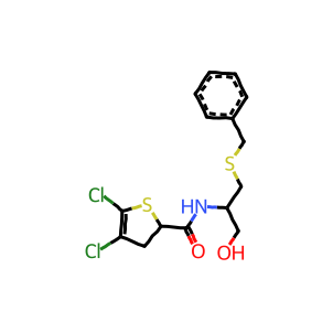 O=C(NC(CO)CSCc1ccccc1)C1CC(Cl)=C(Cl)S1